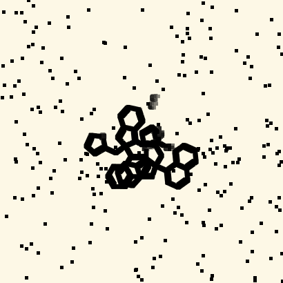 C[Si](C)=[Zr+2]([C]1=c2ccccc2=CC1(Cc1ccco1)c1cccc2ccccc12)[C]1=c2ccccc2=CC1(Cc1ccco1)c1cccc2ccccc12.[Cl-].[Cl-]